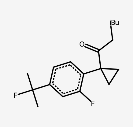 CCC(C)CC(=O)C1(c2ccc(C(C)(C)F)cc2F)CC1